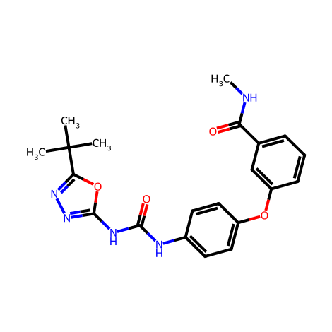 CNC(=O)c1cccc(Oc2ccc(NC(=O)Nc3nnc(C(C)(C)C)o3)cc2)c1